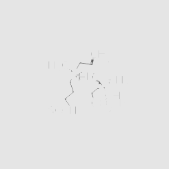 C=CC[N+](C)(C)CCCS(=O)(=O)O.C[N+](C)(C)CC(=O)O